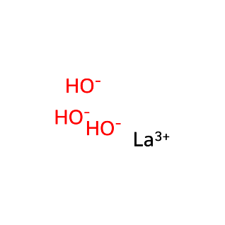 [La+3].[OH-].[OH-].[OH-]